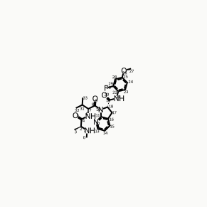 CN[C@@H](C)C(=O)N[C@H](C(=O)N1c2ncccc2C[C@H]1C(=O)Nc1ccc(OC)cc1F)C(C)C